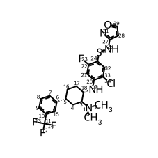 CN(C)C1C[C@H](c2cccc(C(F)(F)F)c2)CC[C@@H]1Nc1cc(F)c(SNc2ccon2)cc1Cl